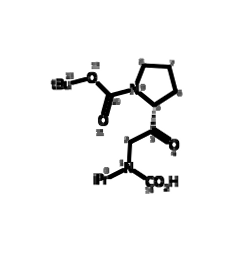 CC(C)N(CC(=O)[C@H]1CCCN1C(=O)OC(C)(C)C)C(=O)O